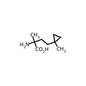 CC1(CCC(C)(N)C(=O)O)CC1